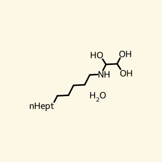 CCCCCCCCCCCCNC(O)C(O)O.O